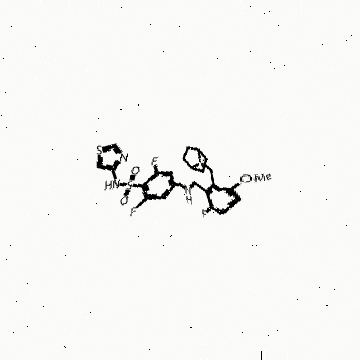 COc1ccc(F)c(CNc2cc(F)c(S(=O)(=O)Nc3cscn3)c(F)c2)c1CN1C2CCC1CC2